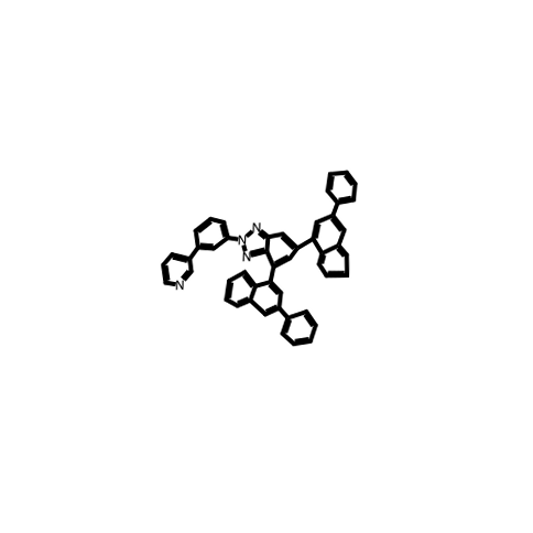 c1ccc(-c2cc(-c3cc(-c4cc(-c5ccccc5)cc5ccccc45)c4nn(-c5cccc(-c6cccnc6)c5)nc4c3)c3ccccc3c2)cc1